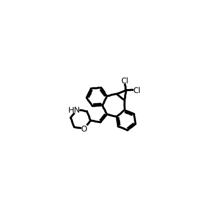 ClC1(Cl)C2c3ccccc3C(=CC3CNCCO3)c3ccccc3C21